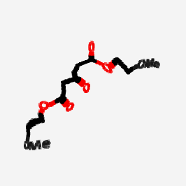 COCCOC(=O)CC(=O)CC(=O)OCCOC